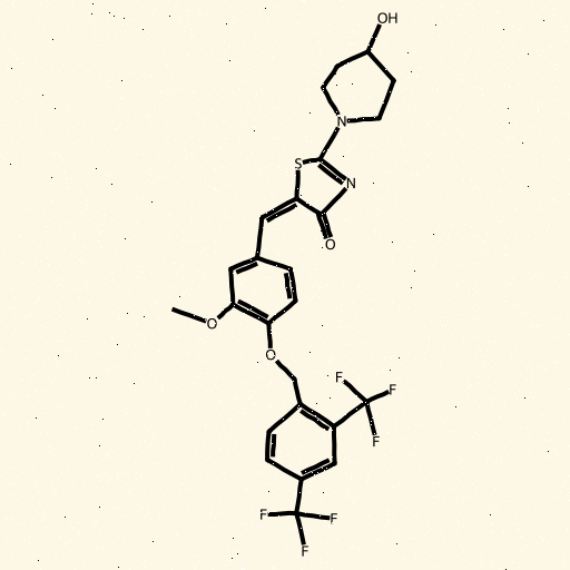 COc1cc(C=C2SC(N3CCC(O)CC3)=NC2=O)ccc1OCc1ccc(C(F)(F)F)cc1C(F)(F)F